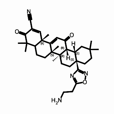 CC1(C)CC[C@]2(c3noc(CCN)n3)CC[C@]3(C)[C@H](C(=O)C=C4[C@@]5(C)C=C(C#N)C(=O)C(C)(C)C5CC[C@]43C)[C@@H]2C1